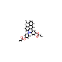 C=CC(=O)Oc1ccc(N(c2ccc(OC(=O)C=C)cc2)c2ccc(C)c3c4c(ccc23)C=C=C=C4CC)cc1